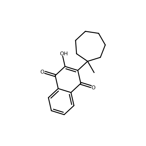 CC1(C2=C(O)C(=O)c3ccccc3C2=O)CCCCCC1